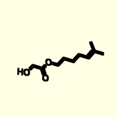 CC(C)=CCCCCOC(=O)CO